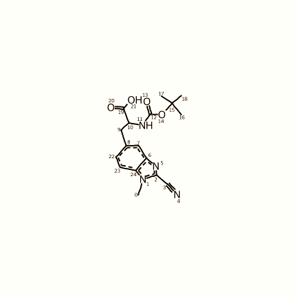 Cn1c(C#N)nc2cc(CC(NC(=O)OC(C)(C)C)C(=O)O)ccc21